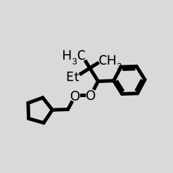 CCC(C)(C)C(OOCC1CCCC1)c1ccccc1